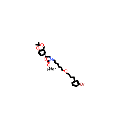 CC1(C)OCc2cc([C@@H]3CN(CCCCCCOCCCCc4cccc(Br)c4)C(=O)O3)ccc2O1.[H-].[Na+]